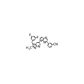 Cc1nc2ncc(-n3ccc4ncc(-c5cccc(C#N)c5)nc43)cc2n1Cc1cc(F)cc(F)c1